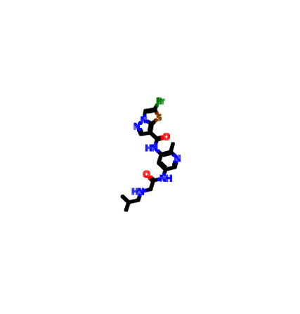 Cc1ncc(NC(=O)CNCC(C)C)cc1NC(=O)c1cnn2cc(Br)sc12